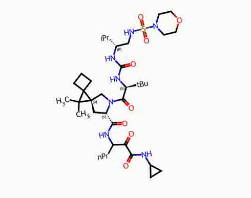 CCCC(NC(=O)[C@@H]1C[C@@]2(CN1C(=O)[C@@H](NC(=O)N[C@@H](CNS(=O)(=O)N1CCOCC1)C(C)C)C(C)(C)C)C(C)(C)C21CCC1)C(=O)C(=O)NC1CC1